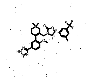 COc1ccc(-c2nn[nH]n2)cc1C1=C(CN2C(=O)O[C@H](c3cc(C)cc(C(F)(F)F)c3)[C@@H]2C)CC(C)(C)CC1